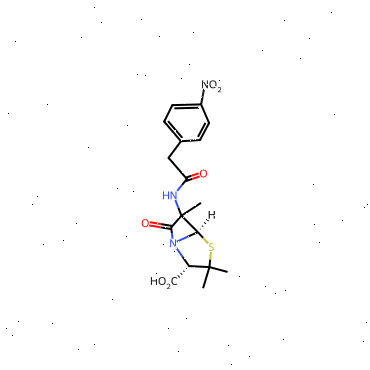 CC1(C)S[C@H]2N(C(=O)C2(C)NC(=O)Cc2ccc([N+](=O)[O-])cc2)[C@H]1C(=O)O